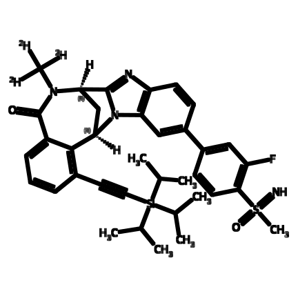 [2H]C([2H])([2H])N1C(=O)c2cccc(C#C[Si](C(C)C)(C(C)C)C(C)C)c2[C@H]2C[C@@H]1c1nc3ccc(-c4ccc(S(C)(=N)=O)c(F)c4)cc3n12